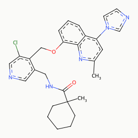 Cc1cc(-n2ccnc2)c2cccc(OCc3c(Cl)cncc3CNC(=O)C3(C)CCCCC3)c2n1